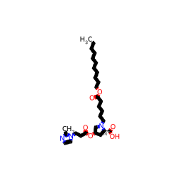 CCCCCCCCCCCOC(=O)CCCCCN1CC(OC(=O)CCn2ccnc2C)C[C@H]1C(=O)O